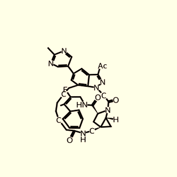 CC(=O)c1nn2c3c(cc(-c4cnc(C)nc4)cc13)CCCCCCC(=O)NC[C@@]13C[C@@H](C(=O)NC/C(F)=C(/C)c4ccccc4)N(C(=O)C2)[C@@H]1C3